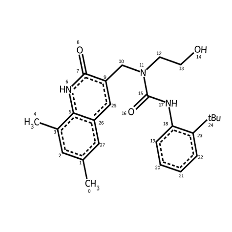 Cc1cc(C)c2[nH]c(=O)c(CN(CCO)C(=O)Nc3ccccc3C(C)(C)C)cc2c1